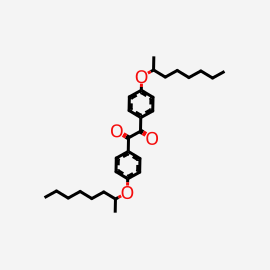 CCCCCCC(C)Oc1ccc(C(=O)C(=O)c2ccc(OC(C)CCCCCC)cc2)cc1